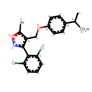 CC(C)c1onc(-c2c(Cl)cccc2Cl)c1COc1ccc(C(C)C(=O)O)cc1